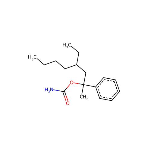 CCCCC(CC)CC(C)(OC(N)=O)c1ccccc1